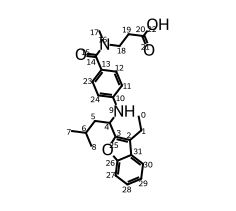 CCc1c(C(CC(C)C)Nc2ccc(C(=O)N(C)CCC(=O)O)cc2)oc2ccccc12